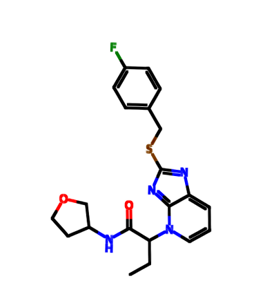 CCC(C(=O)NC1CCOC1)n1cccc2nc(SCc3ccc(F)cc3)nc1-2